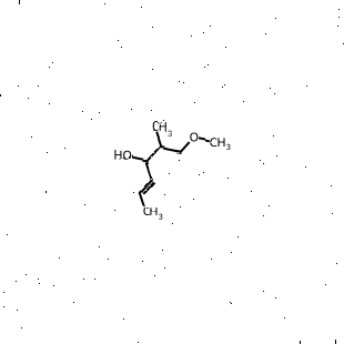 C/C=C/C(O)C(C)COC